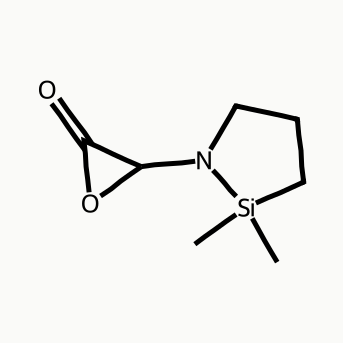 C[Si]1(C)CCCN1C1OC1=O